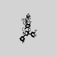 O=S(=O)(Nc1cscn1)c1cc(Cl)c(Oc2cnc(-c3cccc(F)c3)cc2-c2ccnc(F)c2)cc1F